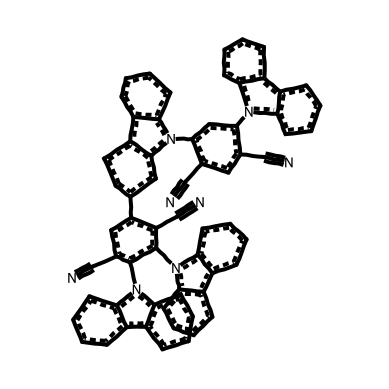 N#Cc1cc(C#N)c(-n2c3ccccc3c3ccc(-c4cc(C#N)c(-n5c6ccccc6c6ccccc65)c(-n5c6ccccc6c6ccccc65)c4C#N)cc32)cc1-n1c2ccccc2c2ccccc21